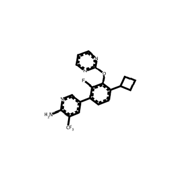 Nc1ncc(-c2ccc(C3CCC3)c(Oc3ncccn3)c2F)cc1C(F)(F)F